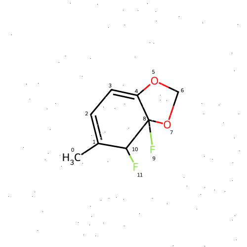 CC1=CC=C2OCOC2(F)C1F